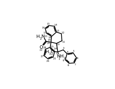 CC(N)(Cc1ccccc1)C1CCc2ccccc2C1(C(N)=O)c1ccccc1